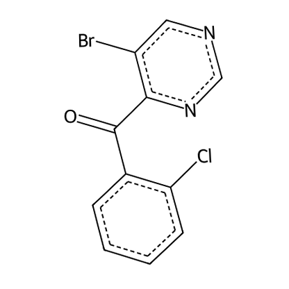 O=C(c1ccccc1Cl)c1ncncc1Br